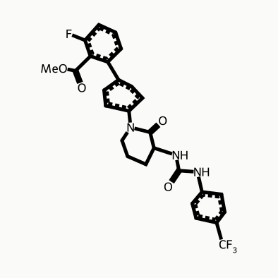 COC(=O)c1c(F)cccc1-c1ccc(N2CCCC(NC(=O)Nc3ccc(C(F)(F)F)cc3)C2=O)cc1